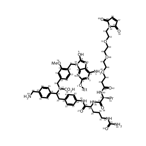 CCOc1nc(N)c2nc(O)n(Cc3ccc(CN(C(=O)O)C(Cc4ccc(NC(=O)[C@H](CCCNC(N)=O)NC(=O)[C@@H](NC(=O)CCOCCOCCOCCN5C(=O)C=CC5=O)C(C)C)cc4)c4ccc(CN)cc4)cc3OC)c2n1